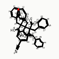 N#Cc1ccc(C(Cc2ccccc2)(C(Cc2ccccc2)(C(=O)O)C(=O)O)C(Cc2ccccc2)(C(=O)O)C(=O)O)c(Cc2ccccc2)c1